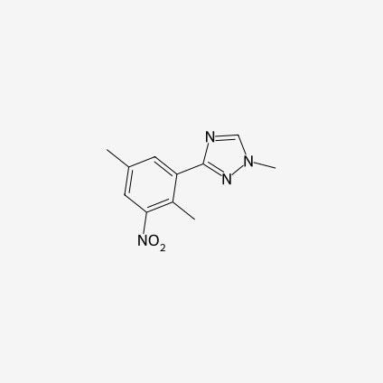 Cc1cc(-c2ncn(C)n2)c(C)c([N+](=O)[O-])c1